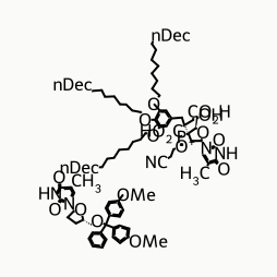 CCCCCCCCCCCCCCCCCCOc1cc(CC(CC(=O)O)(C(=O)O)[C@@]2(/P=[O+]/CCC#N)C[C@H](n3cc(C)c(=O)[nH]c3=O)O[C@@H]2CO)cc(OCCCCCCCCCCCCCCCCCC)c1OCCCCCCCCCCCCCCCCCC.COc1ccc(C(OC[C@@H]2CC[C@H](n3cc(C)c(=O)[nH]c3=O)O2)(c2ccccc2)c2ccc(OC)cc2)cc1